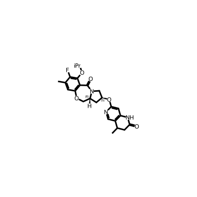 Cc1cc2c(c(OC(C)C)c1F)C(=O)N1C[C@@H](Oc3cc4c(cn3)C(C)CC(=O)N4)C[C@@H]1CO2